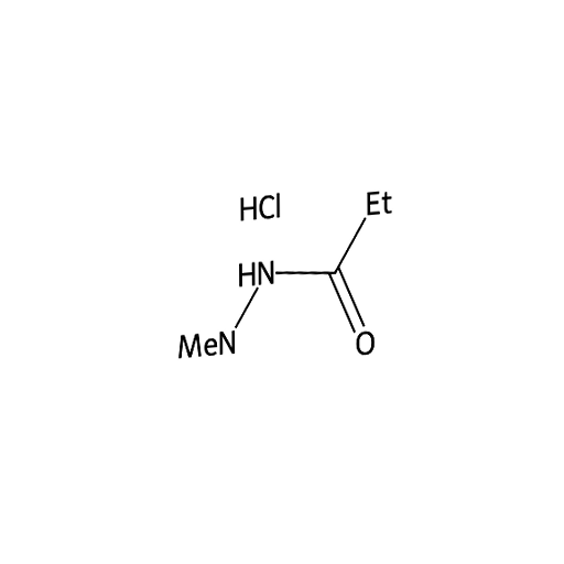 CCC(=O)NNC.Cl